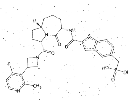 Cc1nccc(F)c1C1CN(C(=O)[C@@H]2CC[C@@H]3CCC[C@H](NC(=O)c4cc5cc(CP(=O)(O)O)ccc5s4)C(=O)N32)C1